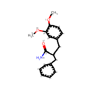 COc1ccc(CC(Cc2ccccc2)C(N)=O)cc1OC